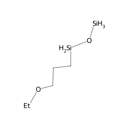 [CH2]COCCC[SiH2]O[SiH3]